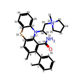 Cc1ccccc1-c1c(C)cc2c(c1C(N)=O)N(C(C)C[N+]1(C)CCCC1)c1ccccc1S2